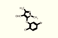 Cc1nn(C)c(Oc2cc(Br)ccc2Cl)c1C=O